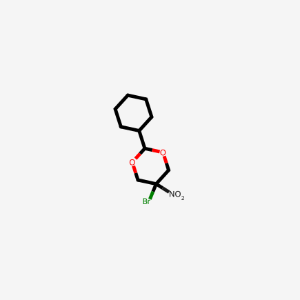 O=[N+]([O-])C1(Br)COC(C2CCCCC2)OC1